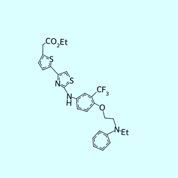 CCOC(=O)Cc1ccc(-c2csc(Nc3ccc(OCCN(CC)c4ccccc4)c(C(F)(F)F)c3)n2)s1